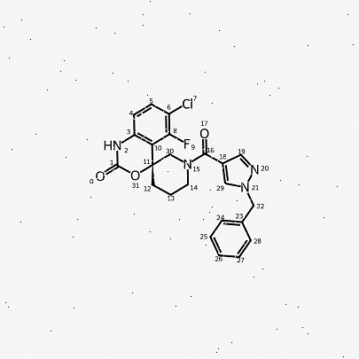 O=C1Nc2ccc(Cl)c(F)c2[C@@]2(CCCN(C(=O)c3cnn(Cc4ccccc4)c3)C2)O1